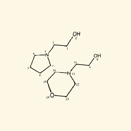 OCCN1CCCC1.OCCN1CCOCC1